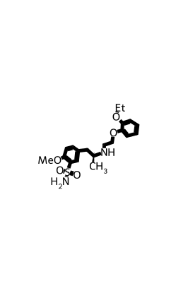 CCOc1ccccc1OCCN[C@@H](C)Cc1ccc(OC)c(S(N)(=O)=O)c1